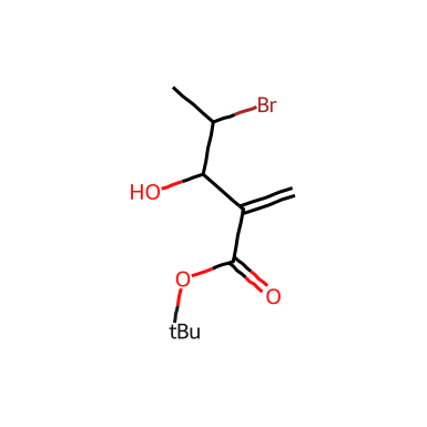 C=C(C(=O)OC(C)(C)C)C(O)C(C)Br